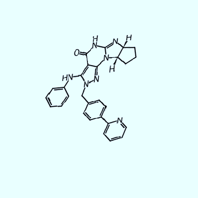 O=C1NC2=N[C@@H]3CCC[C@@H]3N2c2nn(Cc3ccc(-c4ccccn4)cc3)c(Nc3ccccc3)c21